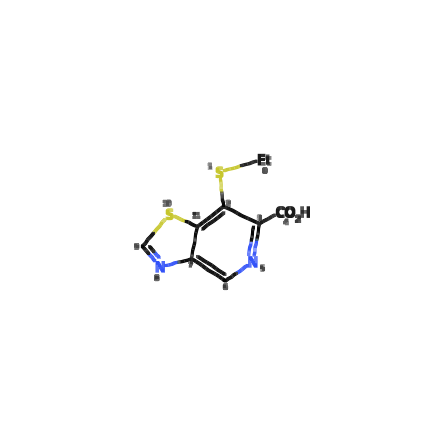 CCSc1c(C(=O)O)ncc2ncsc12